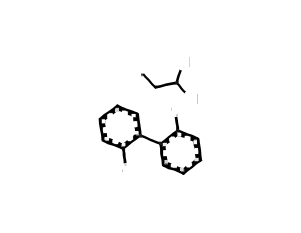 ClCC(Cl)Cl.Clc1ccccc1-c1ccccc1Cl